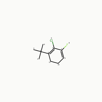 CC(C)(C)C1=C(Cl)C(F)=CCC1